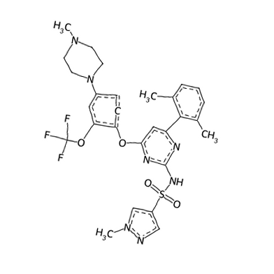 Cc1cccc(C)c1-c1cc(Oc2ccc(N3CCN(C)CC3)cc2OC(F)(F)F)nc(NS(=O)(=O)c2cnn(C)c2)n1